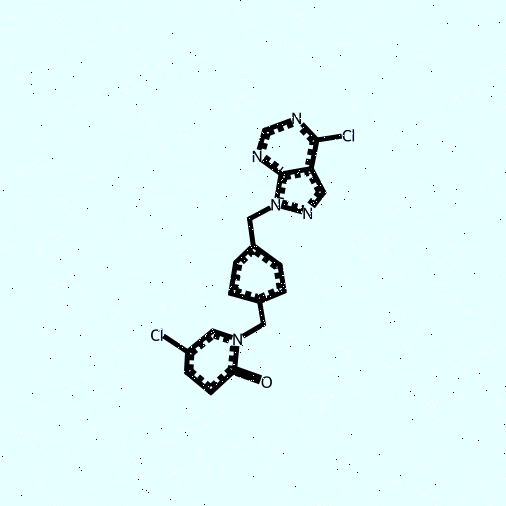 O=c1ccc(Cl)cn1Cc1ccc(Cn2ncc3c(Cl)ncnc32)cc1